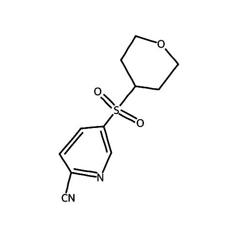 N#Cc1ccc(S(=O)(=O)C2CCOCC2)cn1